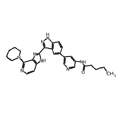 CCCCC(=O)Nc1cncc(-c2ccc3[nH]nc(-c4nc5c(N6CCCCC6)nccc5[nH]4)c3c2)c1